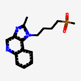 Cc1nc2cnc3ccccc3c2n1CCCCS(C)(=O)=O